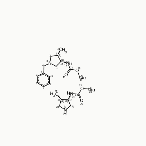 C[C@@H]1CN(Cc2ccccc2)C[C@@H]1NC(=O)OC(C)(C)C.C[C@@H]1CNC[C@@H]1NC(=O)OC(C)(C)C